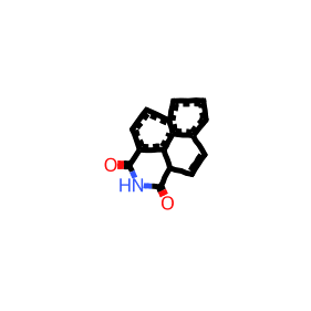 O=C1NC(=O)C2C=Cc3cccc4ccc1c2c34